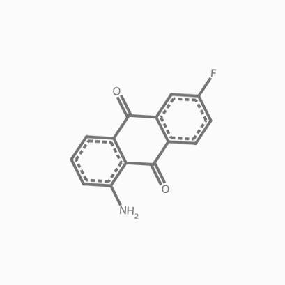 Nc1cccc2c1C(=O)c1ccc(F)cc1C2=O